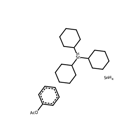 C1CC[CH]([SnH]([CH]2CCCCC2)[CH]2CCCCC2)CC1.CC(=O)Oc1ccccc1.[SnH4]